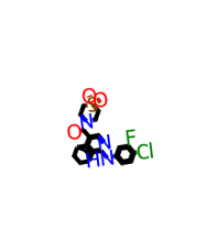 O=C(c1cnc(Nc2ccc(Cl)c(F)c2)c2c1C1CCC2CC1)N1CCS(=O)(=O)CC1